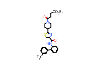 CCOC(=O)CCC(=O)N1CCC(c2nc(C(=O)Nc3ccccc3-c3cccc(C(F)(F)F)c3)cs2)CC1